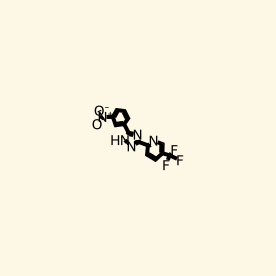 O=[N+]([O-])c1cccc(-c2nc(-c3ccc(C(F)(F)F)cn3)n[nH]2)c1